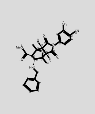 COC(=O)[C@@H]1[C@@H](NCc2ccccc2)C2(C)OC1(C)[C@@H]1C(=O)N(c3ccc(C#N)c(C(F)(F)F)c3)C(=O)[C@@H]12